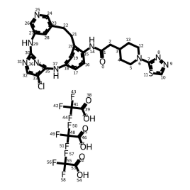 O=C(CC1CCN(c2nncs2)CC1)Nc1ccc2cc1CCc1cncc(c1)Nc1ncc(Cl)c(n1)N2.O=C(O)C(F)(F)F.O=C(O)C(F)(F)F.O=C(O)C(F)(F)F